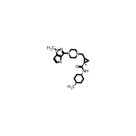 Cn1nc(N2CCN(CC3C[C@H]3C(=O)N[C@H]3CC[C@H](C)CC3)CC2)c2sccc21